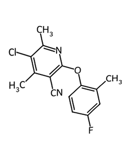 Cc1cc(F)ccc1Oc1nc(C)c(Cl)c(C)c1C#N